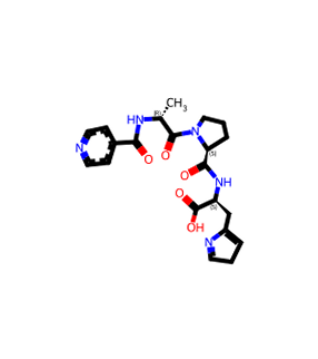 C[C@@H](NC(=O)c1ccncc1)C(=O)N1CCC[C@H]1C(=O)N[C@@H](CC1=CCC=N1)C(=O)O